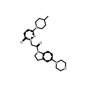 CC1CCN(c2ccc(=O)n(CC(=O)N3CCc4cc(N5CCOCC5)ccc43)n2)CC1